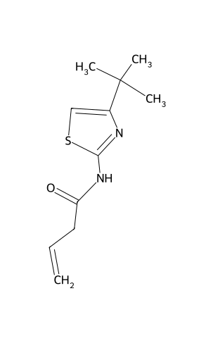 C=CCC(=O)Nc1nc(C(C)(C)C)cs1